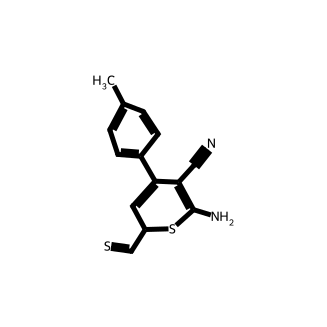 Cc1ccc(C2=CC(C=S)SC(N)=C2C#N)cc1